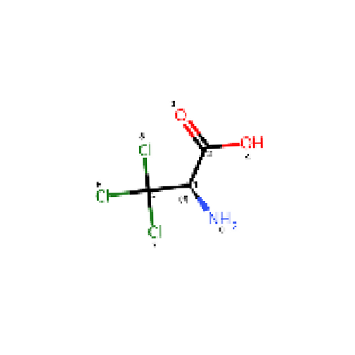 N[C@H](C(=O)O)C(Cl)(Cl)Cl